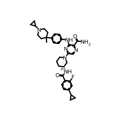 CC1(c2ccc(Nc3nc(N4CCC[C@@H](NC(=O)c5ccc(C6CC6)cc5F)C4)cnc3C(N)=O)cc2)CCN(C2CC2)CC1